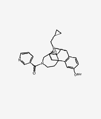 COc1ccc2c(c1)C13CCN(C(=O)c4cccnc4)CCC1(O)C(C2)N(CC1CC1)CC3